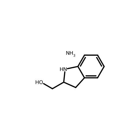 N.OCC1Cc2ccccc2N1